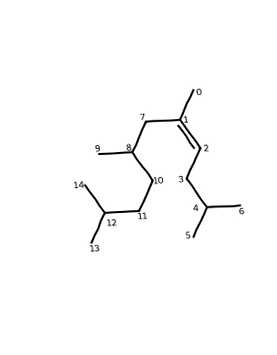 CC(=CCC(C)C)CC(C)CCC(C)C